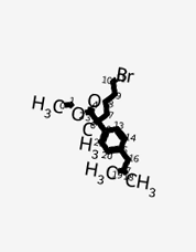 CCOC(=O)C(C)(CCCCBr)c1ccc(CC(C)C)cc1